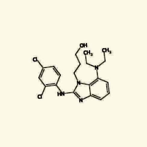 CCN(CC)c1cccc2nc(Nc3ccc(Cl)cc3Cl)n(CCCO)c12